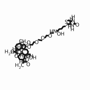 C=C1C(=O)O[C@@H]2[C@@H]3[C@@H](C[C@@]4(CC[C@@]3(O)CO)[C@@H]3[C@H]5OC(=O)C(=C)[C@@H]5CCC(=C)[C@@H]3C[C@@H]4OC(=O)CCOCCOCCOCCNC(O)CCCC[C@@H]3SC[C@@H]4NC(=O)N[C@@H]43)C(=C)CC[C@@H]12